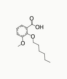 CCCCCCOc1c(OC)cccc1C(=O)O